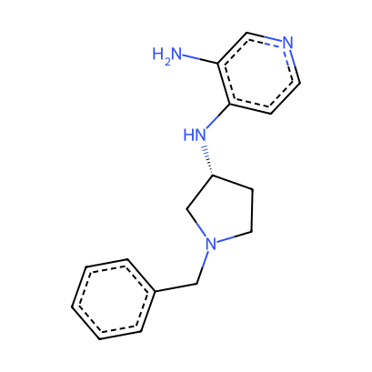 Nc1cnccc1N[C@@H]1CCN(Cc2ccccc2)C1